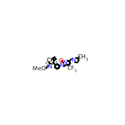 COCc1nc([C@@H](c2cccc(-n3cc4c(C(F)(F)F)cc(CN5CCC[C@H](C)C5)cn4c3=O)c2)C2CCC2)c(C)s1